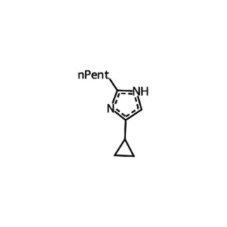 CCCCCc1nc(C2CC2)c[nH]1